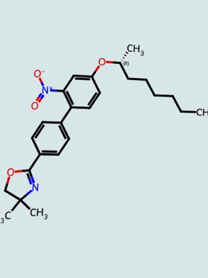 CCCCCC[C@@H](C)Oc1ccc(-c2ccc(C3=NC(C)(C)CO3)cc2)c([N+](=O)[O-])c1